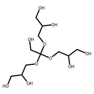 OCC(O)COC(CO)(OCC(O)CO)OCC(O)CO